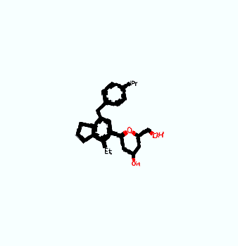 CCc1c(C2CC(O)CC(CO)O2)cc(Cc2ccc(C(C)C)cc2)c2c1CCC2